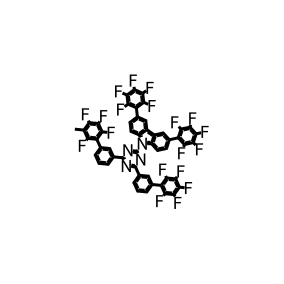 Cc1c(F)c(F)c(F)c(-c2cccc(-c3nc(-c4cccc(-c5c(F)c(F)c(F)c(F)c5F)c4)nc(-n4c5ccc(-c6c(F)c(F)c(F)c(F)c6F)cc5c5cc(-c6c(F)c(F)c(F)c(F)c6F)ccc54)n3)c2)c1F